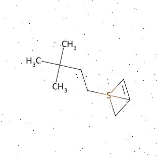 CC(C)(C)CCS12C=C1C2